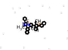 C=Cc1c(-c2cccc(-c3cc4ccccc4cc3-c3nc4c(nc3C)C3C=CC=CC3S4)c2C)c2c(c3c1sc1c4c(ccc13)CCC=C4)C=CCC2